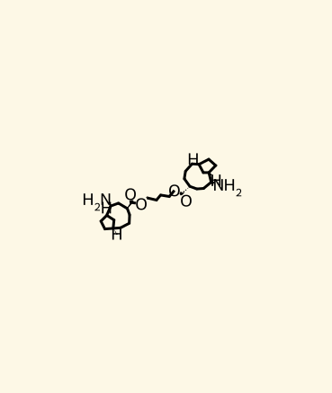 NC1C[C@@H](C(=O)OCCCCOC(=O)[C@@H]2CCC[C@@H]3CC[C@@H](C3)C(N)CC2)CCC[C@H]2CC[C@@H]1C2